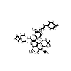 Cc1nc(CN2CCC3(CCC3)CC2)c(-c2ccc(OCCc3ccc(F)cc3)c(F)c2)c(N2CCC(C)(C)CC2)c1[C@H](OC(C)(C)C)C(=O)O